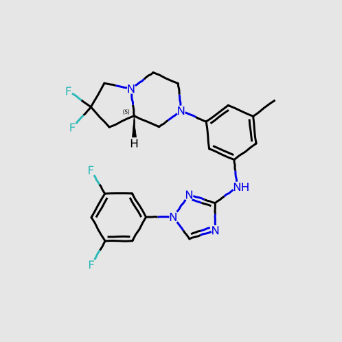 Cc1cc(Nc2ncn(-c3cc(F)cc(F)c3)n2)cc(N2CCN3CC(F)(F)C[C@H]3C2)c1